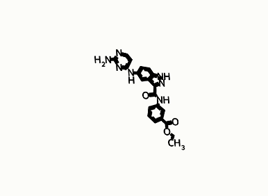 CCOC(=O)c1cccc(NC(=O)c2n[nH]c3ccc(Nc4ccnc(N)n4)cc23)c1